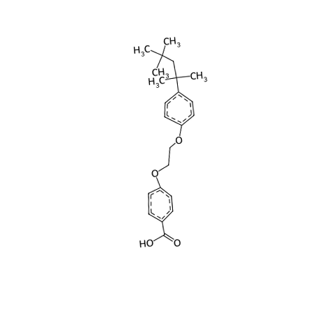 CC(C)(C)CC(C)(C)c1ccc(OCCOc2ccc(C(=O)O)cc2)cc1